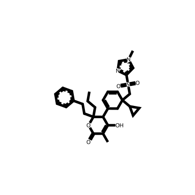 CCCC1(CCc2ccccc2)OC(=O)C(C)=C(O)C1C1=CC=CC(CS(=O)(=O)c2cn(C)cn2)(C2CC2)C1